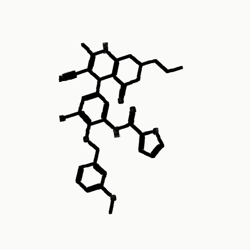 CCCC1CC(=O)C2=C(C1)NC(C)=C(C#N)C2c1cc(Br)c(OCc2cccc(OC)c2)c(NC(=O)c2ccco2)c1